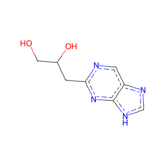 OCC(O)Cc1ncc2nc[nH]c2n1